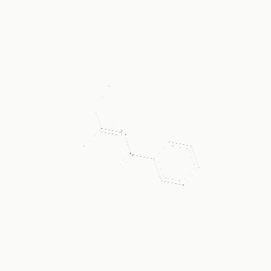 CCO/C(C)=N/C(=O)c1ccccc1